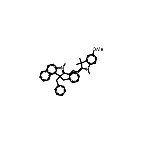 COc1ccc2c(c1)C(C)(C)/C(=C\C=C\C1=[N+](C)c3ccc4ccccc4c3C1(Cc1ccccc1)Cc1ccccc1)N2C